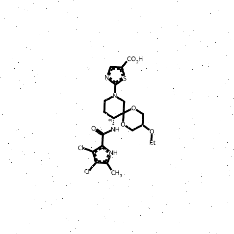 CCOC1COC2(CN(c3ncc(C(=O)O)s3)CC[C@H]2NC(=O)c2[nH]c(C)c(Cl)c2Cl)OC1